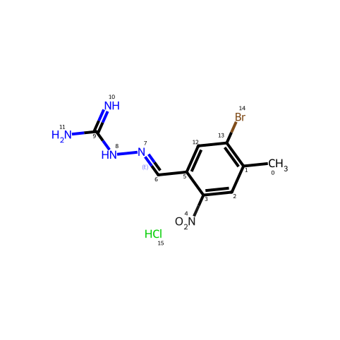 Cc1cc([N+](=O)[O-])c(/C=N/NC(=N)N)cc1Br.Cl